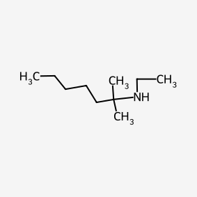 CCCCCC(C)(C)NCC